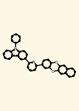 c1ccc(-n2c3ccccc3c3cc(-c4cccc(-c5ccc6c(c5)Oc5cc7ccccc7cc5O6)n4)ccc32)cc1